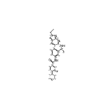 CCn1cc2ncc(N[C@@H](C)c3cccc(NC(=O)c4ccc(N5CCOCC5)c(F)c4)c3)nc2n1